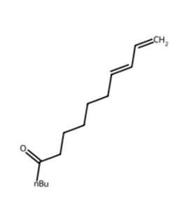 C=CC=CCCCCCC(=O)CCCC